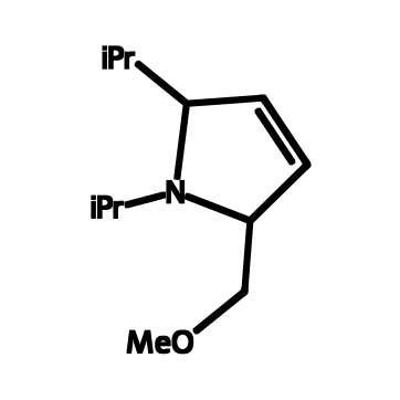 COCC1C=CC(C(C)C)N1C(C)C